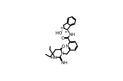 CCC1(CC)CC(=O)N(Cc2cccc(C(=O)N[C@@H]3c4ccccc4C[C@H]3O)n2)C(=N)N1